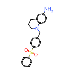 Nc1ccc2c(c1)CCCN2Cc1ccc(S(=O)(=O)c2ccccc2)cc1